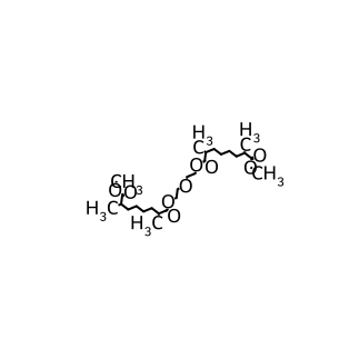 COC(=O)C(C)CCCCC(C)C(=O)OCCOCCOC(=O)C(C)CCCCC(C)C(=O)OC